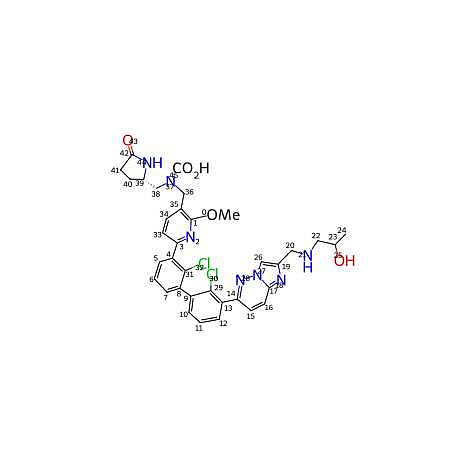 COc1nc(-c2cccc(-c3cccc(-c4ccc5nc(CNCC(C)O)cn5n4)c3Cl)c2Cl)ccc1CN(C[C@@H]1CCC(=O)N1)C(=O)O